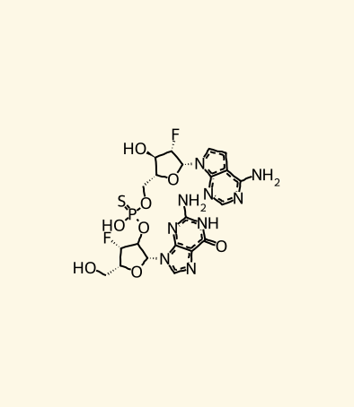 Nc1nc2c(ncn2[C@@H]2O[C@H](CO)[C@H](F)C2OP(O)(=S)OC[C@H]2O[C@@H](n3ccc4c(N)ncnc43)[C@@H](F)[C@@H]2O)c(=O)[nH]1